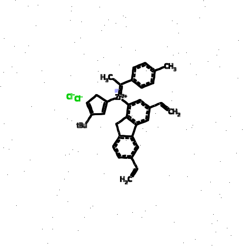 C=Cc1ccc2c(c1)-c1cc(C=C)c[c](/[Zr+2]([C]3=CC(C(C)(C)C)=CC3)=[C](/C)c3ccc(C)cc3)c1C2.[Cl-].[Cl-]